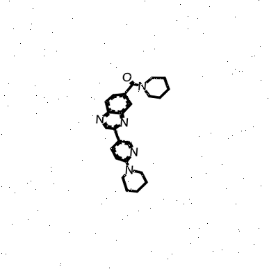 O=C(c1ccc2ncc(-c3ccc(N4CCCCC4)nc3)nc2c1)N1CCCCC1